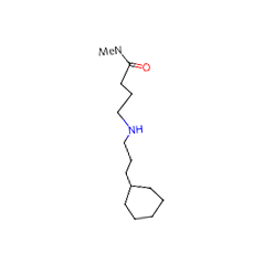 CNC(=O)CCCNCCCC1CCCCC1